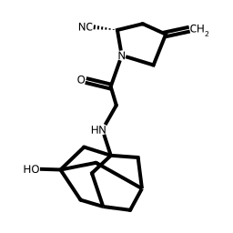 C=C1C[C@@H](C#N)N(C(=O)CNC23CC4CC(CC(O)(C4)C2)C3)C1